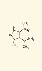 CC(=O)C1NNC(C)C1C(C)N